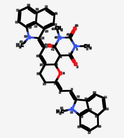 CN1C(=O)C(C2O/C(=C\C=c3\c4c5c(n3C)C=CCC5C=CC=4)CC/C2=C/C=c2/c3cccc4cccc(c43)n2C)C(=O)N(C)C1=O